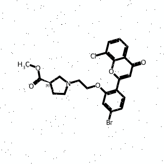 COC(=O)[C@@H]1CCN(CCOc2cc(Br)ccc2-c2cc(=O)c3cccc(Cl)c3o2)C1